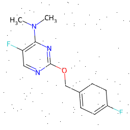 CN(C)c1nc(OCC2=CC=C(F)CC2)ncc1F